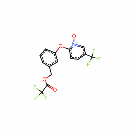 O=C(OCc1cccc(Oc2ccc(C(F)(F)F)c[n+]2[O-])c1)C(F)(F)F